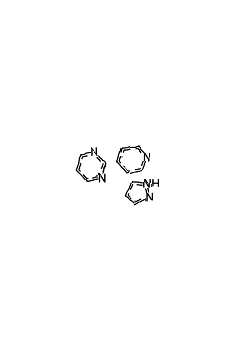 c1ccncc1.c1cn[nH]c1.c1cncnc1